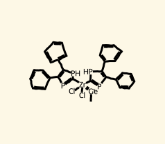 [CH3][Ge]([CH3])=[Zr]([Cl])([Cl])([c]1pc(-c2ccccc2)c(-c2ccccc2)[pH]1)[c]1pc(-c2ccccc2)c(-c2ccccc2)[pH]1